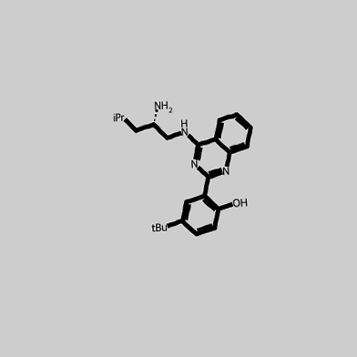 CC(C)C[C@H](N)CNc1nc(-c2cc(C(C)(C)C)ccc2O)nc2ccccc12